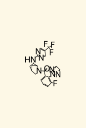 O=C(c1cccc(F)c1-n1nccn1)N1CC2CC(Nc3ncc(C(F)(F)F)cn3)C1C2